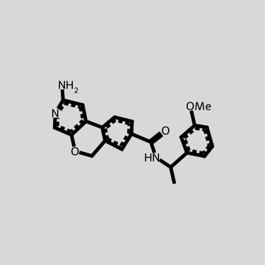 COc1cccc(C(C)NC(=O)c2ccc3c(c2)COc2cnc(N)cc2-3)c1